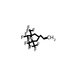 C=CCC(CC(F)(C(F)(F)F)C(F)(F)F)CC(F)(C(F)(F)F)C(F)(F)F